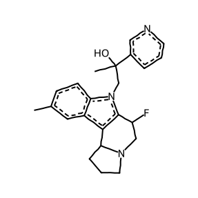 Cc1ccc2c(c1)c1c(n2CC(C)(O)c2cccnc2)C(F)CN2CCCC12